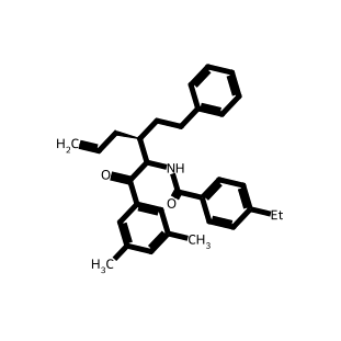 C=CC[C@@H](CCc1ccccc1)C(NC(=O)c1ccc(CC)cc1)C(=O)c1cc(C)cc(C)c1